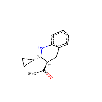 COC(=O)[C@@H]1Cc2ccccc2N[C@H]1C1CC1